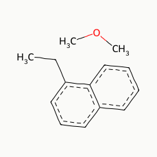 CCc1cccc2ccccc12.COC